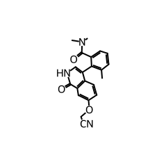 Cc1cccc(C(=O)N(C)C)c1-c1c[nH]c(=O)c2cc(OCC#N)ccc12